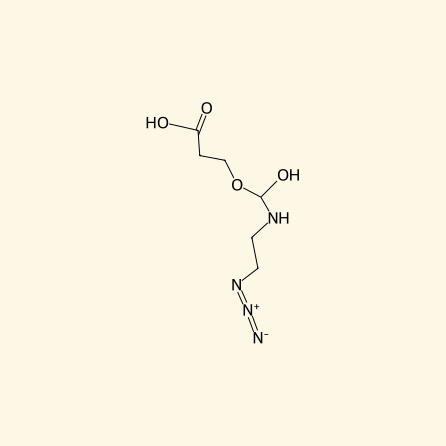 [N-]=[N+]=NCCNC(O)OCCC(=O)O